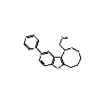 CNCC1CCCCCc2sc3ccc(-c4ccccc4)cc3c21